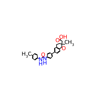 CCC1(CC(=O)O)CCc2cc(-c3ccc(NC(=O)Nc4ccc(C)cc4)cc3)ccc2C1=O